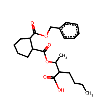 CCCCC(C(=O)O)C(C)OC(=O)C1CCCCC1C(=O)OCc1ccccc1